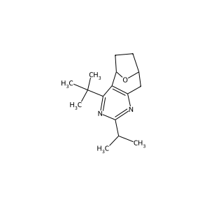 CC(C)c1nc2c(c(C(C)(C)C)n1)C1CCC(C2)O1